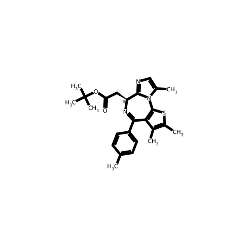 Cc1ccc(C2=N[C@@H](CC(=O)OC(C)(C)C)c3ncc(C)n3-c3sc(C)c(C)c32)cc1